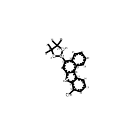 CC1(C)OB(c2cc3sc4c(Cl)cccc4c3c3ccccc23)OC1(C)C